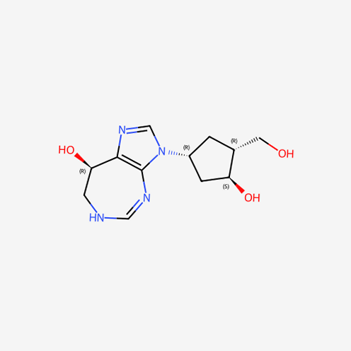 OC[C@H]1C[C@@H](n2cnc3c2N=CNC[C@H]3O)C[C@@H]1O